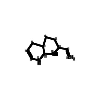 C=CC1CCC2CC=CNC2N1